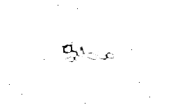 O=C(c1cnccc1F)N1CCN(c2cnc(-c3ccc(F)cc3F)c(-c3ccncc3Cl)n2)CC1